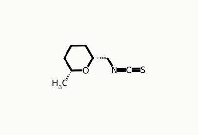 C[C@@H]1CCC[C@H](CN=C=S)O1